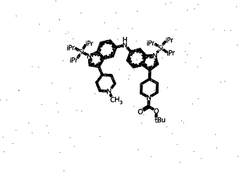 CC(C)[Si](C(C)C)(C(C)C)n1cc(C2CCN(C)CC2)c2cc(Nc3ccc4c(C5CCN(C(=O)OC(C)(C)C)CC5)cn([Si](C(C)C)(C(C)C)C(C)C)c4c3)ccc21